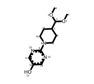 COC(OC)C1CCN(c2ncc(O)cn2)CC1